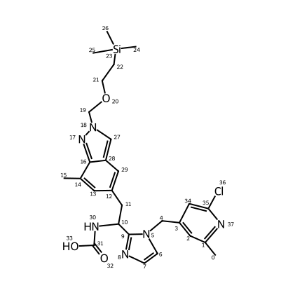 Cc1cc(Cn2ccnc2C(Cc2cc(C)c3nn(COCC[Si](C)(C)C)cc3c2)NC(=O)O)cc(Cl)n1